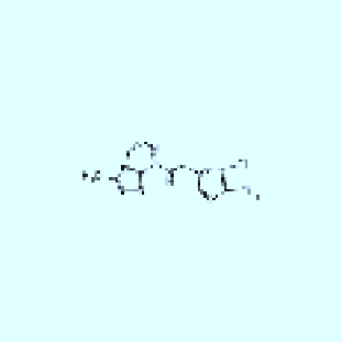 Cc1ccc(CNc2nccn3c(C)nnc23)cc1Cl